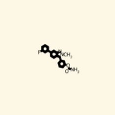 Cn1nc2cc(-c3cccc(F)c3)ccc2c1-c1cccc(OC(N)=O)c1